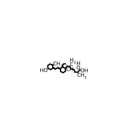 C=C1CC[C@H](O)C/C1=C/C=C1\CCC[C@@]2(C)C1CC[C@@H]2[C@H](C)CCCC(C)C(O)O